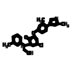 Cc1cccc([C@H](CO)n2cc(Cl)cc(Oc3ccc(-n4cnc(C)c4)c(C)c3)c2=O)c1